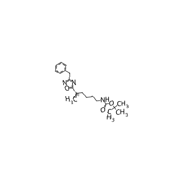 C[C@H](CCCCNC(=O)OC(C)(C)C)c1nc(Cc2ccccc2)no1